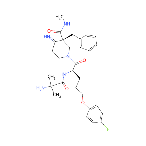 CNC(=O)[C@]1(Cc2ccccc2)CN(C(=O)[C@@H](CCCOc2ccc(F)cc2)NC(=O)C(C)(C)N)CCC1=N